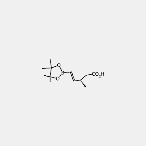 C[C@@H](C=CB1OC(C)(C)C(C)(C)O1)CC(=O)O